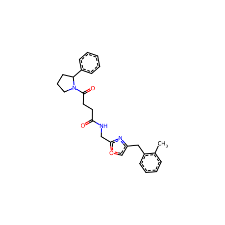 Cc1ccccc1Cc1coc(CNC(=O)CCC(=O)N2CCCC2c2ccccc2)n1